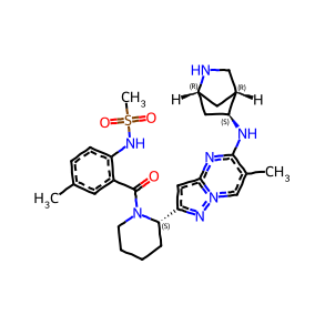 Cc1ccc(NS(C)(=O)=O)c(C(=O)N2CCCC[C@H]2c2cc3nc(N[C@H]4C[C@H]5C[C@@H]4CN5)c(C)cn3n2)c1